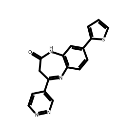 O=C1CC(c2ccnnc2)=Nc2ccc(-c3cccs3)cc2N1